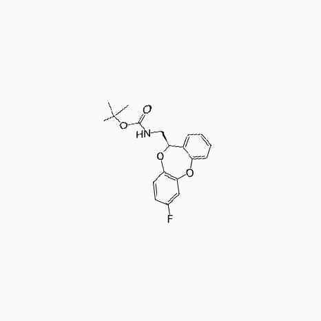 CC(C)(C)OC(=O)NC[C@@H]1Oc2ccc(F)cc2Oc2ccccc21